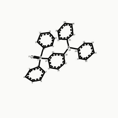 O=P(c1ccccc1)(c1ccccc1)c1cccc(P(c2ccccc2)c2ccccc2)c1